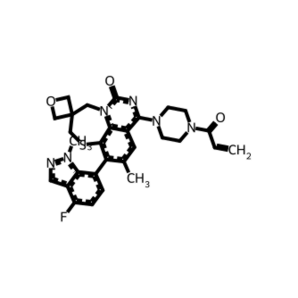 C=CC(=O)N1CCN(c2nc(=O)n3c4c(c(-c5ccc(F)c6cnn(C)c56)c(C)cc24)SCC2(COC2)C3)CC1